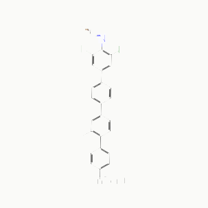 CCCCCc1ccc(-c2ccc(-c3ccc(-c4cc(F)c(N=C=S)c(F)c4)cc3)cc2C)cc1